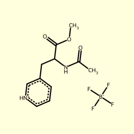 COC(=O)C(Cc1ccc[nH+]c1)NC(C)=O.F[B-](F)(F)F